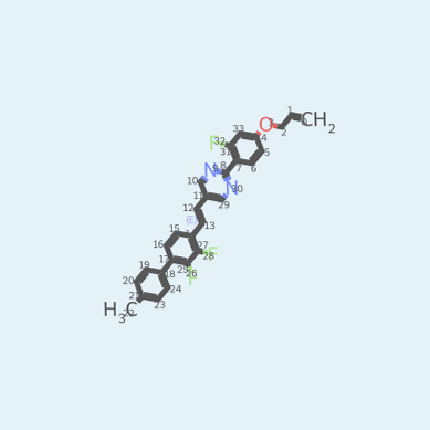 C=CCOc1ccc(-c2ncc(/C=C/c3ccc(-c4ccc(C)cc4)c(F)c3F)cn2)c(F)c1